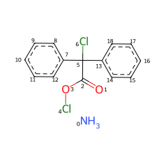 N.O=C(OCl)C(Cl)(c1ccccc1)c1ccccc1